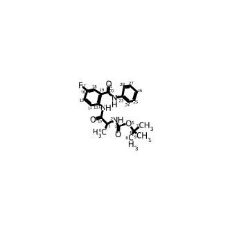 CC(NC(=O)OC(C)(C)C)C(=O)Nc1ccc(F)cc1C(=O)Nc1ccccc1